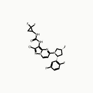 O=C(Nc1c(Cl)nn2ccc(N3C[C@H](F)C[C@@H]3c3cc(F)ccc3F)nc12)NC1CC1(F)F